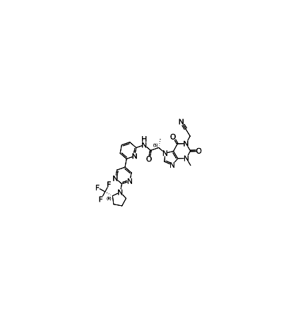 C[C@@H](C(=O)Nc1cccc(-c2cnc(N3CCC[C@@H]3C(F)(F)F)nc2)n1)n1cnc2c1c(=O)n(CC#N)c(=O)n2C